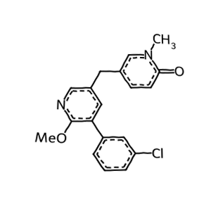 COc1ncc(Cc2ccc(=O)n(C)c2)cc1-c1cccc(Cl)c1